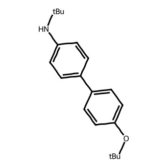 CC(C)(C)Nc1ccc(-c2ccc(OC(C)(C)C)cc2)cc1